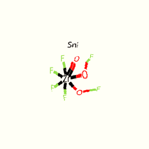 [O]=[Zr]([F])([F])([F])([F])([O]F)[O]F.[Sn]